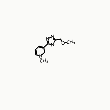 COCC1=NN=C(C2=CC=CN(C)C2)[N]1